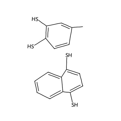 Cc1ccc(S)c(S)c1.Sc1ccc(S)c2ccccc12